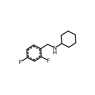 Fc1ccc(CNC2CCCCC2)c(F)c1